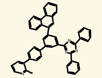 Cc1ncccc1-c1ccc(-c2cc(-c3nc(-c4ccccc4)nc(-c4ccccc4)n3)cc(-c3cc4ccccc4c4ccccc34)c2)cc1